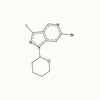 Brc1cc2c(cn1)c(I)nn2C1CCCCO1